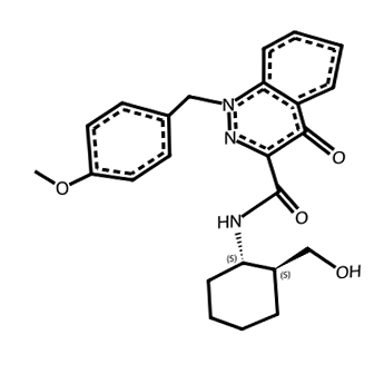 COc1ccc(Cn2nc(C(=O)N[C@H]3CCCC[C@@H]3CO)c(=O)c3ccccc32)cc1